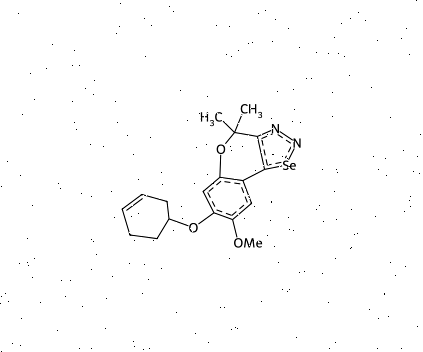 COc1cc2c(cc1OC1CC=CCC1)OC(C)(C)c1nn[se]c1-2